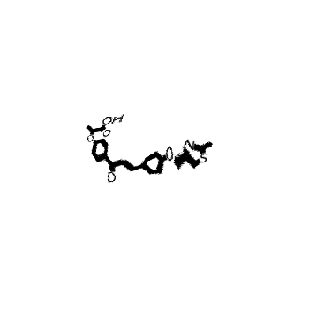 Cc1nc(COc2ccc(C=CC(=O)c3ccc(OC(C)C(=O)O)cc3)cc2)cs1